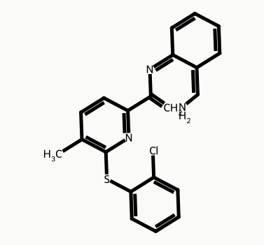 C=C(/N=C1/C=CC=C/C1=C/N)c1ccc(C)c(Sc2ccccc2Cl)n1